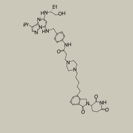 CC[C@H](CO)Nc1cc(NCc2ccc(NC(=O)CCN3CCN(CCCCCc4cccc5c4CN(C4CCC(=O)NC4=O)C5=O)CC3)cc2)n2ncc(C(C)C)c2n1